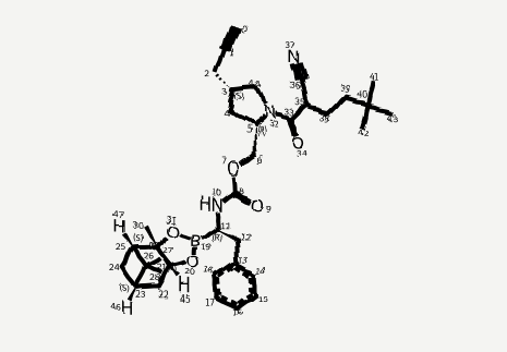 C#CC[C@H]1C[C@H](COC(=O)N[C@@H](Cc2ccccc2)B2O[C@@H]3C[C@@H]4C[C@@H](C4(C)C)[C@]3(C)O2)N(C(=O)C(C#N)CCC(C)(C)C)C1